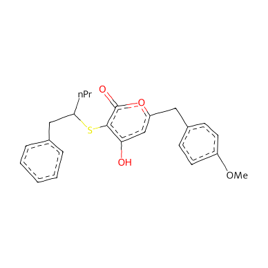 CCCC(Cc1ccccc1)Sc1c(O)cc(Cc2ccc(OC)cc2)oc1=O